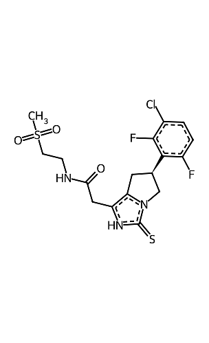 CS(=O)(=O)CCNC(=O)Cc1[nH]c(=S)n2c1C[C@@H](c1c(F)ccc(Cl)c1F)C2